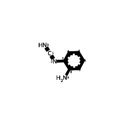 N=C=Nc1ccccc1N